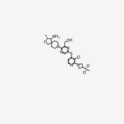 C[C@@H]1OCC2(CCN(c3ncc(Sc4ccnc(N5CC(S(C)(=O)=O)C5)c4Cl)nc3CO)CC2)[C@@H]1N